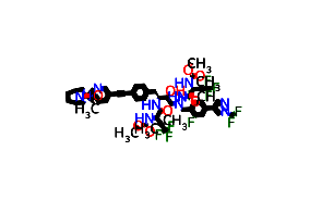 COC(=O)NC(C(=O)N[C@@H](Cc1ccc(C#Cc2cnc(N3CC4CCC(C3)N4C3COC3)c(C)c2)cc1)[C@@H](O)CN(Cc1c(F)cc(-c2cnn(C(F)F)c2)cc1F)NC(=O)[C@@H](NC(=O)OC)C(C)(C)C(F)(F)F)C(C)(C)C(F)(F)F